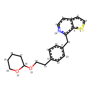 c1cc2ccsc2c(Cc2ccc(CCOC3CCCCO3)cc2)n1